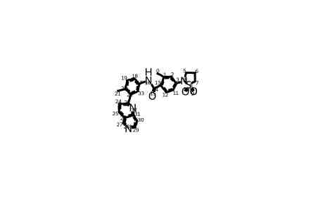 Cc1cc(N2CCCS2(=O)=O)ccc1C(=O)Nc1ccc(C)c(-c2ccc3cnccc3n2)c1